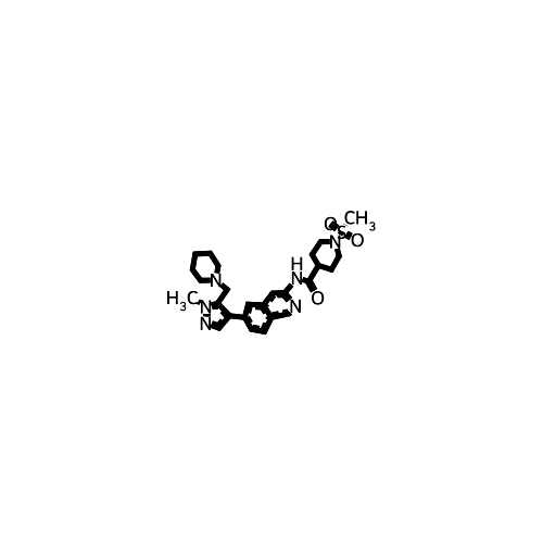 Cn1ncc(-c2ccc3cnc(NC(=O)C4CCN(S(C)(=O)=O)CC4)cc3c2)c1CN1CCCCC1